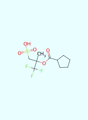 CC(CS(=O)(=O)O)(OC(=O)C1CCCC1)C(F)(F)F